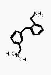 CN(C)Cc1cccc(Cc2cc[c]cc2CN)c1